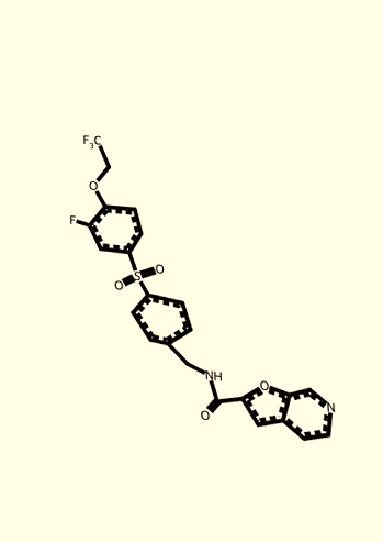 O=C(NCc1ccc(S(=O)(=O)c2ccc(OCC(F)(F)F)c(F)c2)cc1)c1cc2ccncc2o1